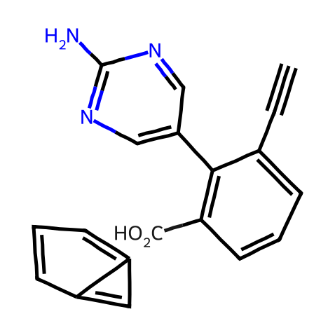 C#Cc1cccc(C(=O)O)c1-c1cnc(N)nc1.c1cc2cc-2c1